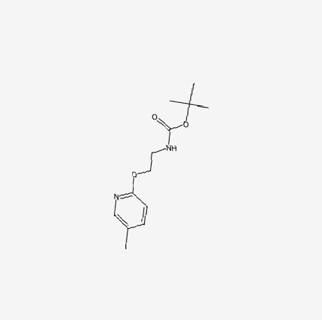 CC(C)(C)OC(=O)NCCOc1ccc(I)cn1